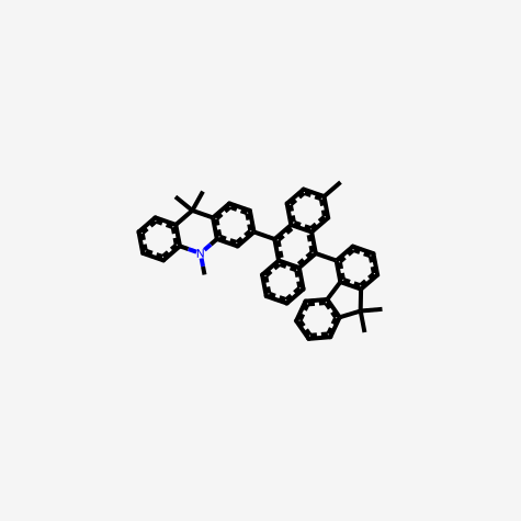 Cc1ccc2c(-c3ccc4c(c3)N(C)c3ccccc3C4(C)C)c3ccccc3c(-c3cccc4c3-c3ccccc3C4(C)C)c2c1